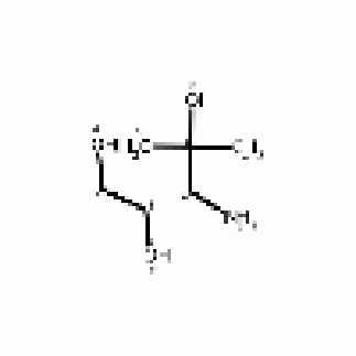 CC(C)(O)CN.OCCO